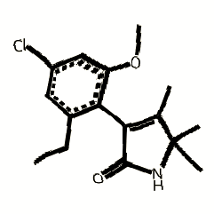 CCc1cc(Cl)cc(OC)c1C1=C(C)C(C)(C)NC1=O